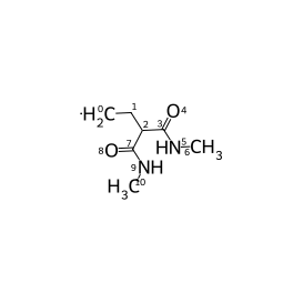 [CH2]CC(C(=O)NC)C(=O)NC